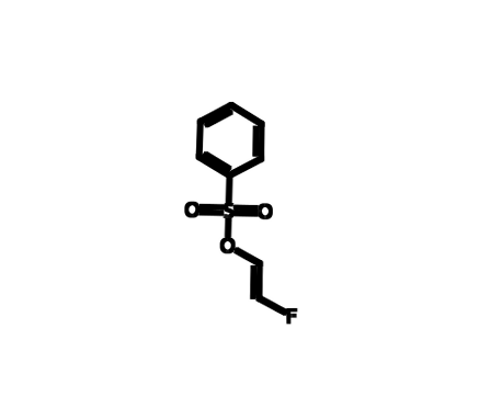 O=S(=O)(OC=CF)c1ccccc1